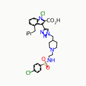 CC(C)Cc1cccc2c1c(-c1cn(CC3CCN(CCNS(=O)(=O)c4ccc(Cl)cc4)CC3)nn1)c(C(=O)O)n2Cl